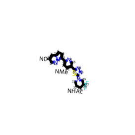 CNc1cc(-c2ccc3cc(C#N)cnn23)ncc1-c1nnc(N2CC[C@H](NC(C)=O)C(F)(F)C2)s1